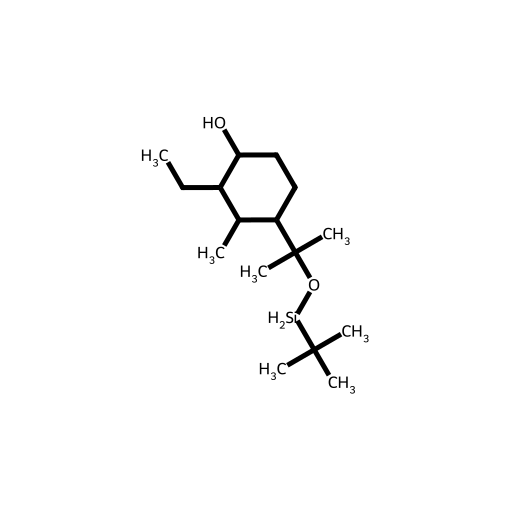 CCC1C(O)CCC(C(C)(C)O[SiH2]C(C)(C)C)C1C